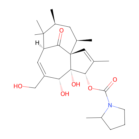 CC1=C[C@]23C(=O)[C@@H](C=C(CO)[C@@H](O)[C@]2(O)[C@H]1OC(=O)N1CCCC1C)C(C)(C)[C@@H](C)C[C@H]3C